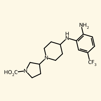 Nc1ccc(C(F)(F)F)cc1NC1CCN(C2CCN(C(=O)O)C2)CC1